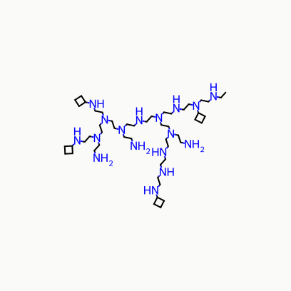 CCNCCN(CCNCCN(CCNCCN(CCN)CCN(CCNC1CCC1)CCN(CCN)CCNC1CCC1)CCN(CCN)CCNCCNCCNC1CCC1)C1CCC1